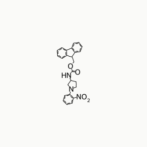 O=C(N[C@H]1CCN(c2ccccc2[N+](=O)[O-])C1)OCC1c2ccccc2-c2ccccc21